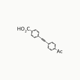 CC(=O)c1ccc(C#Cc2ccc(C(=O)O)cc2)cc1